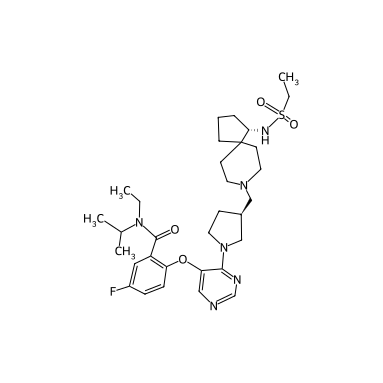 CCN(C(=O)c1cc(F)ccc1Oc1cncnc1N1CC[C@@H](CN2CCC3(CCC[C@@H]3NS(=O)(=O)CC)CC2)C1)C(C)C